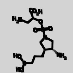 NC[C@H](OS(=O)(=O)N1C[C@H](CCCB(O)O)[C@@H](N)C1)C(=O)O